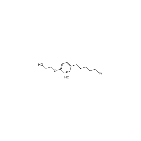 CC(C)CCCCCc1ccc(OCCO)cc1.Cl